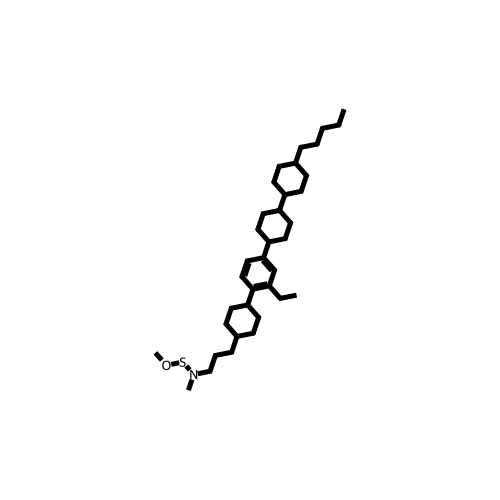 CCCCCC1CCC(C2CCC(c3ccc(C4CCC(CCCN(C)SOC)CC4)c(CC)c3)CC2)CC1